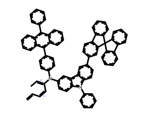 C=C/C=C\C(=C/C)N(c1ccc(-c2c3ccccc3c(-c3ccccc3)c3ccccc23)cc1)c1ccc2c(c1)c1cc(-c3ccc4c(c3)C3(c5ccccc5-c5ccccc53)c3ccccc3-4)ccc1n2-c1ccccc1